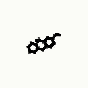 CSc1ccc(Cc2ccccc2)c(N)c1